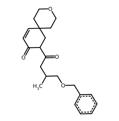 CC(COCc1ccccc1)CC(=O)C1CC2(C=CC1=O)CCOCC2